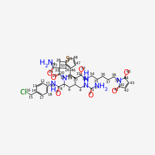 NC(=O)NCCCC(C(=O)Nc1ccc(CCl)cc1)N(C(=O)C1(C(N)=O)CCC1)[C@H](CC(=O)NCCCCCN1C(=O)C=CC1=O)c1ccsc1